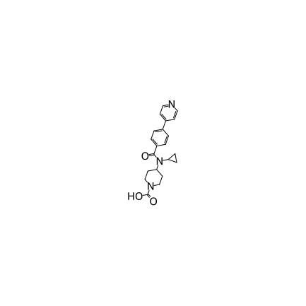 O=C(O)N1CCC(N(C(=O)c2ccc(-c3ccncc3)cc2)C2CC2)CC1